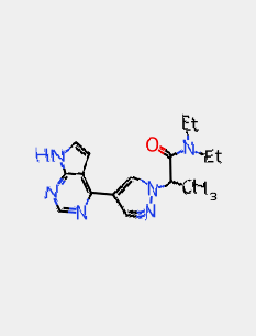 CCN(CC)C(=O)C(C)n1cc(-c2ncnc3[nH]ccc23)cn1